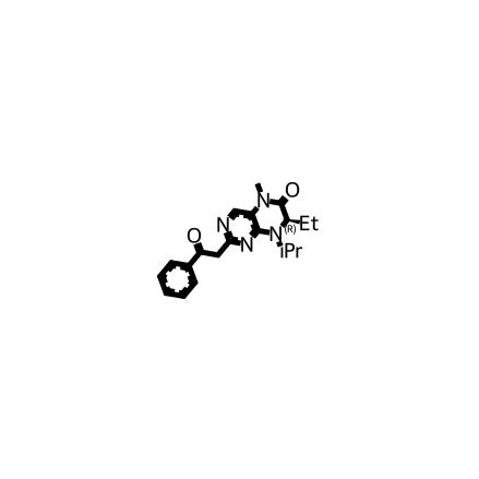 CC[C@@H]1C(=O)N(C)c2cnc(CC(=O)c3ccccc3)nc2N1C(C)C